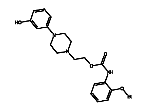 CCOc1ccccc1NC(=O)OCCN1CCN(c2cccc(O)c2)CC1